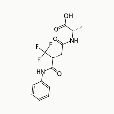 C[C@H](NC(=O)CC(C(=O)Nc1ccccc1)C(F)(F)F)C(=O)O